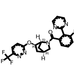 O=C(c1cccc(F)c1-c1ncccn1)N1C[C@H]2C[C@@H](Oc3ccc(C(F)(F)F)nn3)[C@@H]1C2